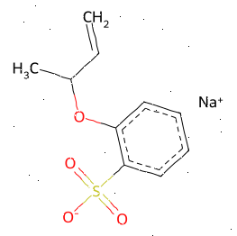 C=CC(C)Oc1ccccc1S(=O)(=O)[O-].[Na+]